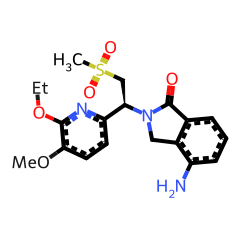 CCOc1nc([C@@H](CS(C)(=O)=O)N2Cc3c(N)cccc3C2=O)ccc1OC